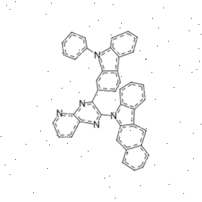 c1ccc(-n2c3ccccc3c3ccc(-c4nc5ncccc5nc4-n4c5ccccc5c5cc6ccccc6cc54)cc32)cc1